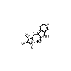 Cc1[nH]c(/C=C2\C(=O)Nc3ccccc32)c(C)c1Br